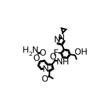 CC(=O)c1cc(C(=O)Nc2cc(C(C)O)cc(-c3cnn(C4CC4)c3)c2F)c2cc(OC(N)=O)ccn12